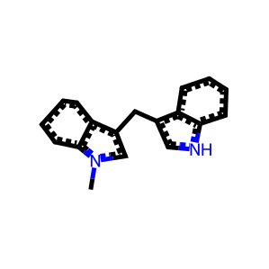 Cn1cc(Cc2c[nH]c3ccccc23)c2ccccc21